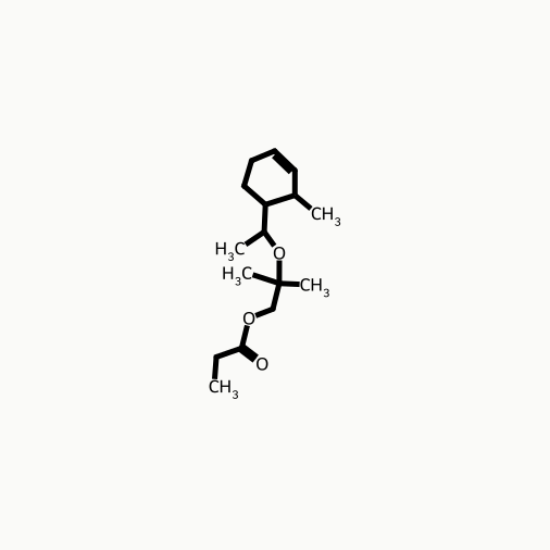 CCC(=O)OCC(C)(C)OC(C)C1CCC=CC1C